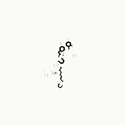 CN(C)C(=O)OC(CCC=CC(=O)N1CCCC1)C(=O)Nc1cccn(Cc2cc3cc(F)cc(OCc4ccc(F)cc4F)c3n2C(=O)O)c1=O